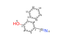 N#Cc1ccc(O)cc1.c1ccccc1